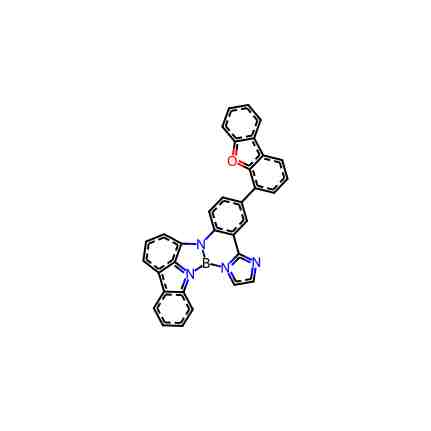 c1ccc2c(c1)oc1c(-c3ccc4c(c3)-c3nccn3B3N4c4cccc5c6ccccc6n3c45)cccc12